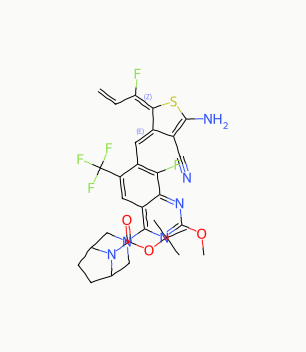 C=C/C(F)=c1/sc(N)c(C#N)/c1=C\c1c(C(F)(F)F)cc2c(N3CC4CCC(C3)N4C(=O)OC(C)(C)C)nc(OC)nc2c1F